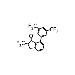 O=C1c2c(cccc2-c2cc(C(F)(F)F)cc(C(F)(F)F)c2)CC1C(F)(F)F